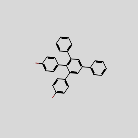 Brc1ccc(-c2cc(-c3ccccc3)cc(-c3ccccc3)c2-c2ccc(Br)cc2)cc1